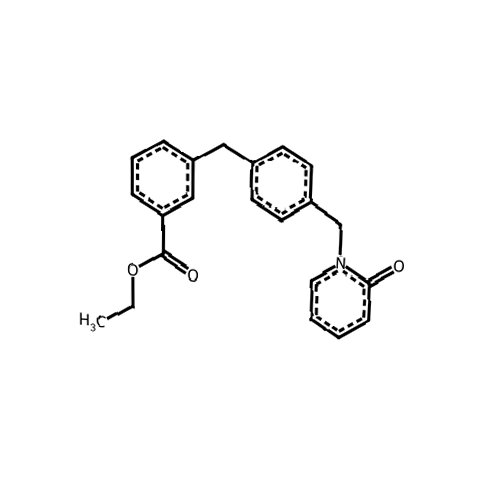 CCOC(=O)c1cccc(Cc2ccc(Cn3ccccc3=O)cc2)c1